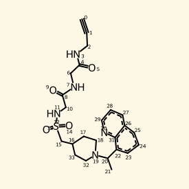 C#CCNC(=O)CNC(=O)CNS(=O)(=O)CC1CCN(C(C)c2cccc3cccnc23)CC1